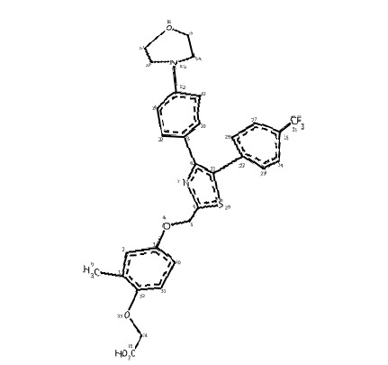 Cc1cc(OCc2nc(-c3ccc(N4CCOCC4)cc3)c(-c3ccc(C(F)(F)F)cc3)s2)ccc1OCC(=O)O